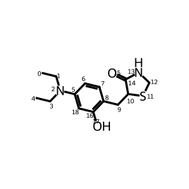 CCN(CC)c1ccc(CC2SCNC2=O)c(O)c1